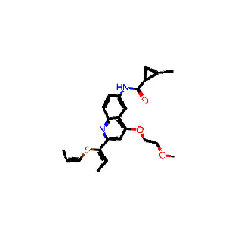 C/C=C\S/C(=C\C)c1cc(OCCOC)c2cc(NC(=O)C3CC3C)ccc2n1